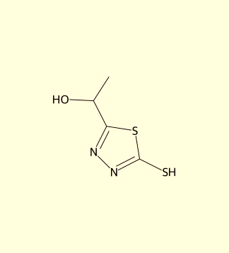 CC(O)c1nnc(S)s1